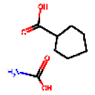 NC(=O)O.O=C(O)C1CCCCC1